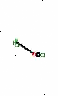 FC(F)(Cl)C=CCCCCCCCCCOc1ccc(Cl)cc1